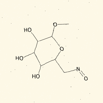 COC1OC(CN=O)C(O)C(O)C1O